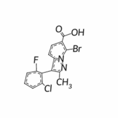 Cc1nn2c(Br)c(C(=O)O)ccc2c1-c1c(F)cccc1Cl